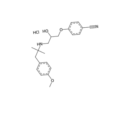 COc1ccc(CC(C)(C)NCC(O)COc2ccc(C#N)cc2)cc1.Cl